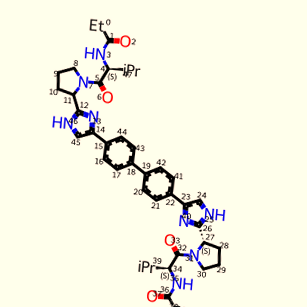 CCC(=O)N[C@H](C(=O)N1CCCC1c1nc(-c2ccc(-c3ccc(-c4c[nH]c([C@@H]5CCCN5C(=O)[C@@H](NC(=O)CC)C(C)C)n4)cc3)cc2)c[nH]1)C(C)C